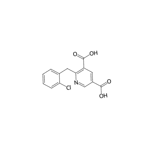 O=C(O)c1cnc(Cc2ccccc2Cl)c(C(=O)O)c1